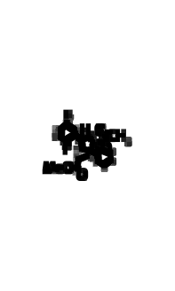 COC(=O)CC[C@]1(c2ccccc2)C=C(c2cc(F)ccc2F)CN1C(=O)N(C)C